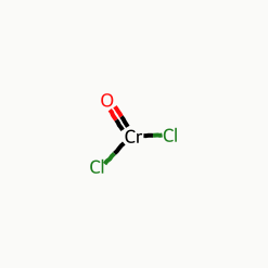 [O]=[Cr]([Cl])[Cl]